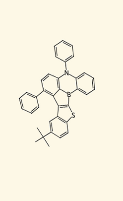 CC(C)(C)c1ccc2sc3c(c2c1)-c1c(-c2ccccc2)ccc2c1B3c1ccccc1N2c1ccccc1